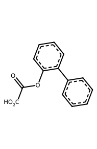 O=C(O)C(=O)Oc1ccccc1-c1ccccc1